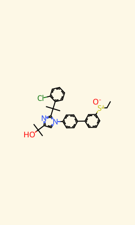 CC[S+]([O-])c1cccc(-c2ccc(-n3cc(C(C)(C)O)nc3C(C)(C)c3ccccc3Cl)cc2)c1